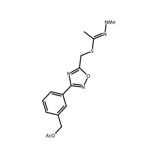 CN/N=C(\C)SCc1nc(-c2cccc(COC(C)=O)c2)no1